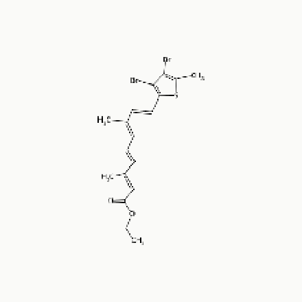 CCOC(=O)/C=C(\C)C=CC=C(C)C=Cc1sc(C)c(Br)c1Br